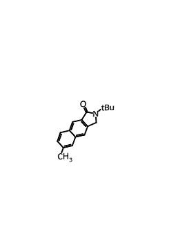 Cc1ccc2cc3c(cc2c1)CN(C(C)(C)C)C3=O